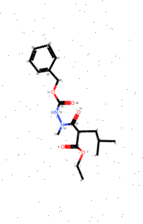 CCOC(=O)C(CC(C)C)C(=O)N(C)NC(=O)OCc1ccccc1